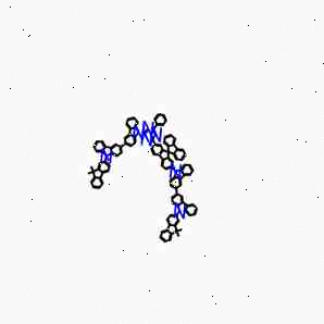 CC1(C)c2ccccc2-c2ccc(-n3c4ccccc4c4cc(-c5ccc6c(c5)c5ccccc5n6-c5ccc6c(c5)C5(c7ccccc7-c7ccccc75)c5cc(-c7nc(-c8ccccc8)nc(-n8c9ccccc9c9cc(-c%10ccc%11c(c%10)c%10ccccc%10n%11-c%10ccc%11c(c%10)C(C)(C)c%10ccccc%10-%11)ccc98)n7)ccc5-6)ccc43)cc21